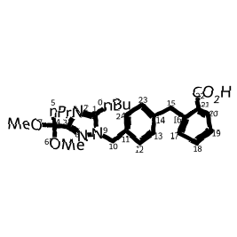 CCCCc1nc(C(CCC)(OC)OC)nn1Cc1ccc(Cc2ccccc2C(=O)O)cc1